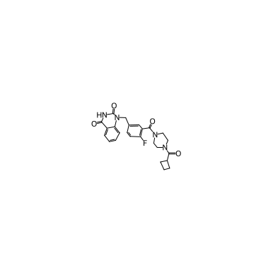 O=C(c1cc(Cn2c(=O)[nH]c(=O)c3ccccc32)ccc1F)N1CCN(C(=O)C2CCC2)CC1